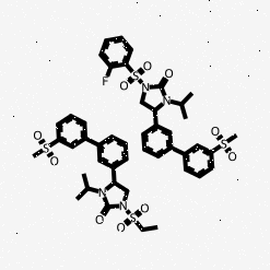 CC(C)N1C(=O)N(S(=O)(=O)c2ccccc2F)CC1c1cccc(-c2cccc(S(C)(=O)=O)c2)c1.CCS(=O)(=O)N1CC(c2cccc(-c3cccc(S(C)(=O)=O)c3)c2)N(C(C)C)C1=O